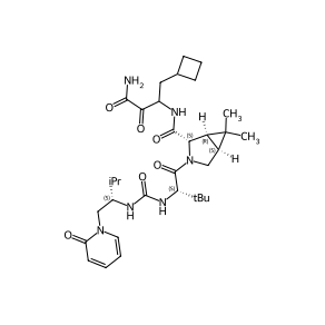 CC(C)[C@@H](Cn1ccccc1=O)NC(=O)N[C@H](C(=O)N1C[C@H]2[C@@H]([C@H]1C(=O)NC(CC1CCC1)C(=O)C(N)=O)C2(C)C)C(C)(C)C